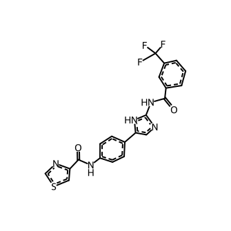 O=C(Nc1ncc(-c2ccc(NC(=O)c3cscn3)cc2)[nH]1)c1cccc(C(F)(F)F)c1